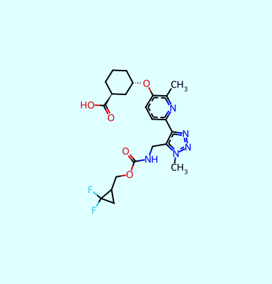 Cc1nc(-c2nnn(C)c2CNC(=O)OCC2CC2(F)F)ccc1O[C@H]1CCC[C@H](C(=O)O)C1